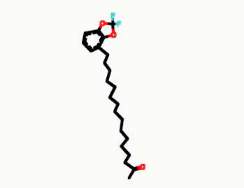 CC(=O)CCCCCCCCCCCCCCc1cccc2c1OC(F)(F)O2